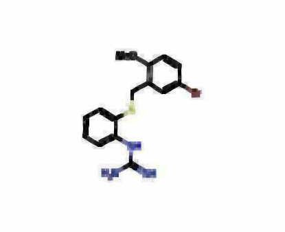 COc1ccc(Br)cc1CSc1ccccc1NC(=N)N